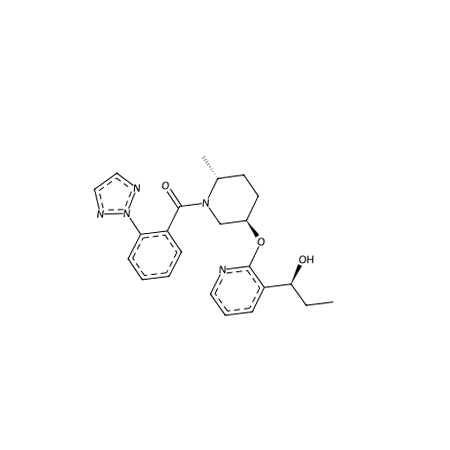 CC[C@H](O)c1cccnc1O[C@@H]1CC[C@@H](C)N(C(=O)c2ccccc2-n2nccn2)C1